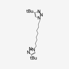 CC(C)(C)c1cn(CCCCCCCCCn2cc(C(C)(C)C)nn2)nn1